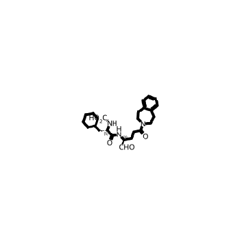 O=C[C@H](CCC(=O)N1CCc2ccccc2CC1)NC(=O)[C@H](CC1CCCCC1)NC(=O)O